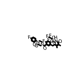 Cc1c(C)c(=O)[nH][n+](OC(=O)C(F)(F)F)c1Cc1ccc(F)c(C(=O)N2CCN(c3ccc(F)cc3Cl)C(=O)C2)c1